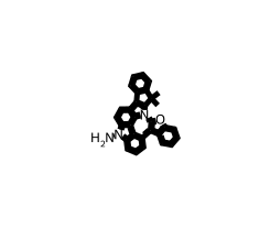 CC1(C)c2ccccc2-c2c1n1c3oc4ccccc4c3c3cccc4c3c3c(ccc2c31)n4N